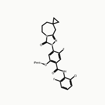 CCC[C@H](C)Oc1cc(-n2nc3n(c2=O)CCCC2(CC2)C3)c(F)cc1C(=O)Nc1c(F)cccc1Cl